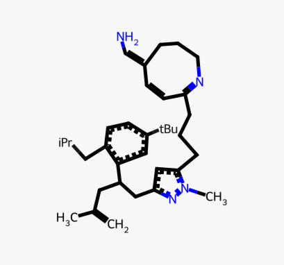 C=C(C)CC(Cc1cc(CCCC2=N/CCCC(=C\N)/C=C\2)n(C)n1)c1cc(C(C)(C)C)ccc1CC(C)C